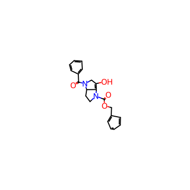 O=C(OCc1ccccc1)N1CCC2C1=C(O)CN2C(=O)c1ccccc1